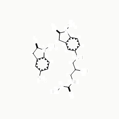 CN1C(=O)Cc2cc(N)ccc21.CN1C(=O)Cc2cc(NCC(O)CNC(=O)OC(C)(C)C)ccc21